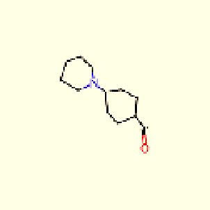 O=[C]C1CCC(N2CCCCC2)CC1